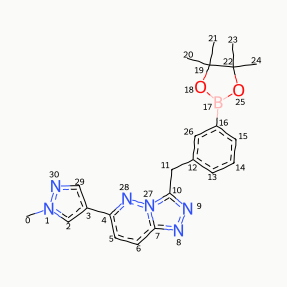 Cn1cc(-c2ccc3nnc(Cc4cccc(B5OC(C)(C)C(C)(C)O5)c4)n3n2)cn1